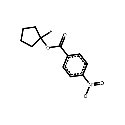 O=C(OC1(F)CCCC1)c1ccc([N+](=O)[O-])cc1